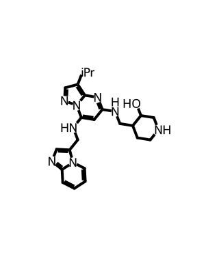 CC(C)c1cnn2c(NCc3cnc4ccccn34)cc(NCC3CCNCC3O)nc12